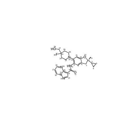 C[C@@]1(C2CC2)Cc2cc(NC(=O)c3cnn4cccnc34)c(N3CCC(F)(CO)CC3)cc2O1